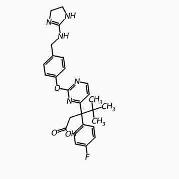 CC(C)(C)C(CC(=O)O)(c1ccc(F)cc1)c1ccnc(Oc2ccc(CNC3=NCCN3)cc2)n1